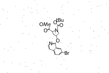 COC(=O)C1CC(Oc2nccc3ccc(Br)cc23)CN1C(=O)OC(C)(C)C